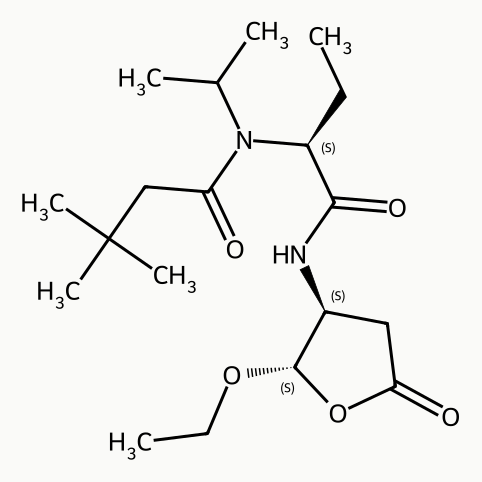 CCO[C@H]1OC(=O)C[C@@H]1NC(=O)[C@H](CC)N(C(=O)CC(C)(C)C)C(C)C